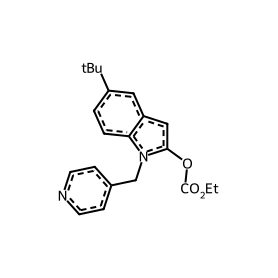 CCOC(=O)Oc1cc2cc(C(C)(C)C)ccc2n1Cc1ccncc1